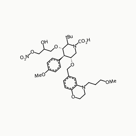 COCCCN1CCOc2ccc(CO[C@H]3CN(C(=O)O)C(C(C)(C)C)[C@@H](OCC(O)CO[N+](=O)[O-])[C@@H]3c3ccc(OC)cc3)cc21